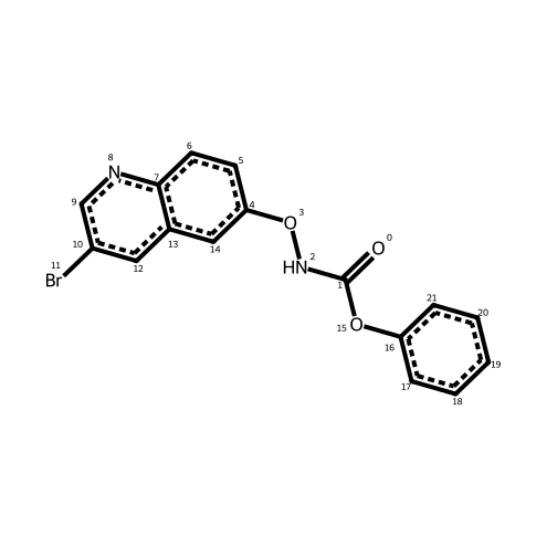 O=C(NOc1ccc2ncc(Br)cc2c1)Oc1ccccc1